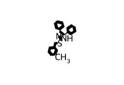 Cc1cccc(CSC2=N[C@@H](c3ccccc3)[C@@H](c3ccccc3)N2)c1